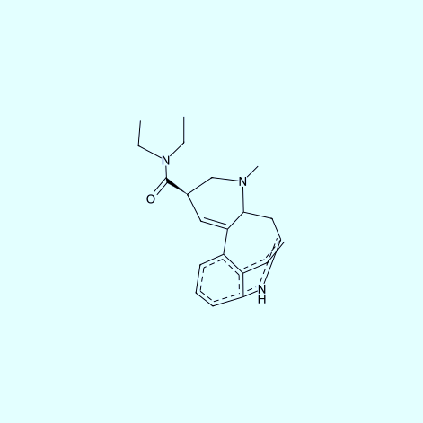 CCN(CC)C(=O)[C@@H]1C=C2c3cccc4[nH]c(cc34)CC2N(C)C1